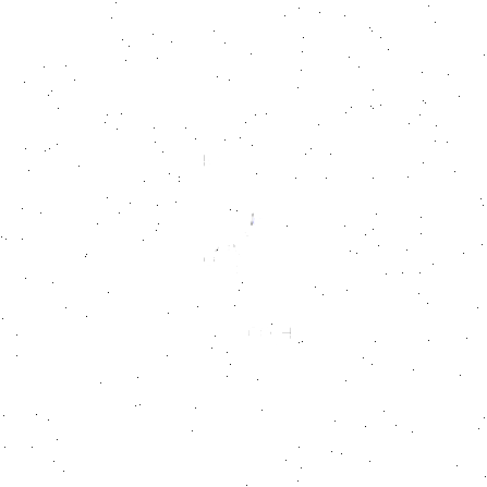 CC(O)CCCC/C=C\[C@H]1CCC(=O)[C@@H]1CCCCCCC(=O)O